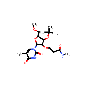 CNC(=O)CCOC1C(OC(C)(C)C)C(COC)OC1n1cc(C)c(=O)[nH]c1=O